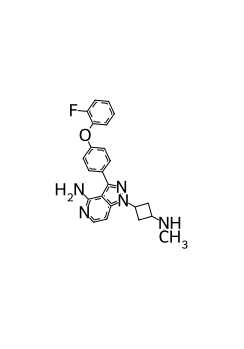 CNC1CC(n2nc(-c3ccc(Oc4ccccc4F)cc3)c3c(N)nccc32)C1